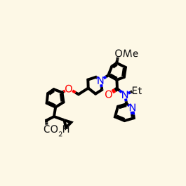 CCN(C(=O)c1ccc(OC)cc1N1CCC(COc2cccc(C(CC(=O)O)C3CC3)c2)CC1)c1ccccn1